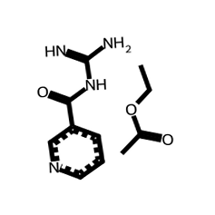 CCOC(C)=O.N=C(N)NC(=O)c1cccnc1